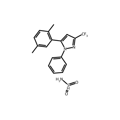 Cc1ccc(C)c(-c2cc(C(F)(F)F)nn2-c2ccccc2)c1.N[SH](=O)=O